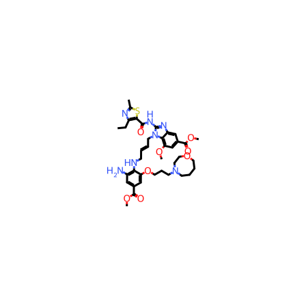 CCc1nc(C)sc1C(=O)Nc1nc2cc(C(=O)OC)cc(OC)c2n1C/C=C/CNc1c(N)cc(C(=O)OC)cc1OCCCN1CCCCOCC1